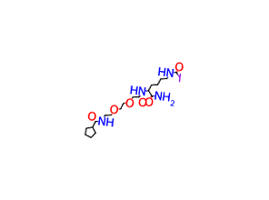 NC(=O)C(CCCCNC(=O)I)NC(=O)COCCOCCNC(=O)C1CCCC1